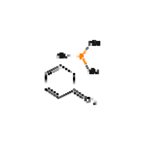 C=C1C=CC=CC1.CCCCP(CCCC)CCCC